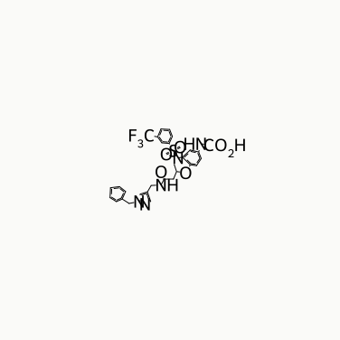 O=C(O)Nc1ccc2c(c1)N(S(=O)(=O)c1cccc(C(F)(F)F)c1)CC(CC(=O)NCc1cnn(Cc3ccccc3)c1)O2